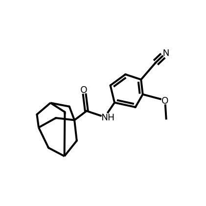 COc1cc(NC(=O)C23CC4CC(CC(C4)C2)C3)ccc1C#N